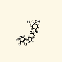 CC1(O)CCC(NC(=O)O[C@@H]2CCN(c3cn[nH]c(=O)c3Cl)C2)CC1